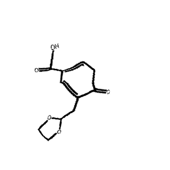 O=C(O)C1=CCC(=O)C(CC2OCCO2)=C1